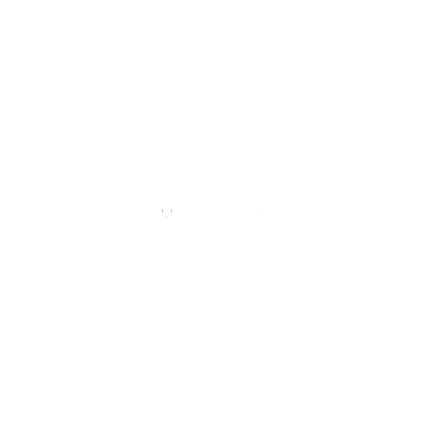 C=C(C)CC(C)C[O]